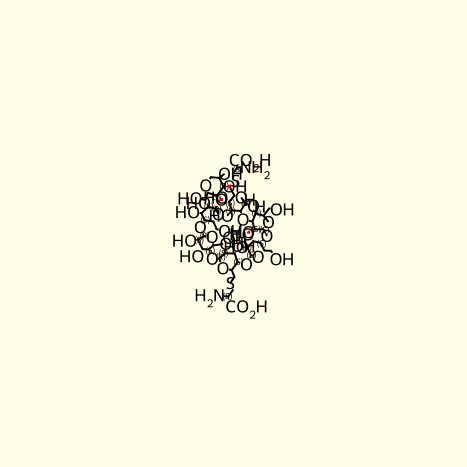 N[C@H](CSCC1O[C@@H](O[C@@H]2C(CO)O[C@H](O[C@@H]3C(CO)O[C@H](O[C@@H]4C(CO)OCC(O)[C@H]4O)[C@@H](O)C3O)[C@@H](O)C2O)[C@@H](O)C(O)[C@@H]1O[C@@H]1OC(CO)[C@@H](O[C@@H]2OC(CO)[C@H]3O[C@H]4OC(CSC[C@@H](N)C(=O)O)[C@@H](O)[C@H](O)C4OC3[C@@H]2O)C(O)[C@@H]1O)C(=O)O